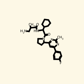 Cc1nc(-c2ccc(F)cc2)cc(C2CCCN2C(=O)C(NC(=O)C(C)CN)C2CCCCC2)n1